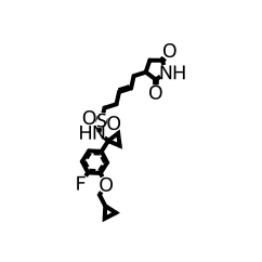 O=C1CC(C/C=C/CCS(=O)(=O)NC2(c3ccc(F)c(OCC4CC4)c3)CC2)C(=O)N1